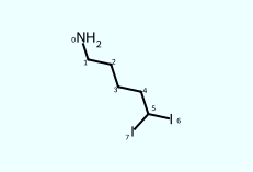 NCCCCC(I)I